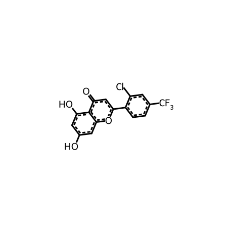 O=c1cc(-c2ccc(C(F)(F)F)cc2Cl)oc2cc(O)cc(O)c12